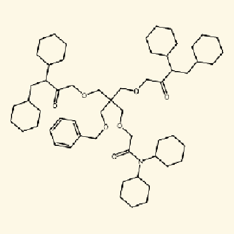 O=C(COCC(COCC(=O)C(CC1CCCCC1)C1CCCCC1)(COCC(=O)N(C1CCCCC1)C1CCCCC1)COCc1ccccc1)C(CC1CCCCC1)C1CCCCC1